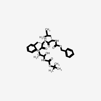 CC(C)C[C@H](NC(=O)OCc1ccccc1)C(=O)N[C@@H](Cc1ccccc1)C(=O)N[C@@H](C)C(O)NC(=O)OC(C)(C)C